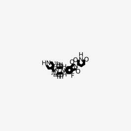 [2H]C1([2H])N(CC2CCNCC2)C([2H])([2H])C([2H])([2H])N(c2cc(F)c3c(c2)C(=O)N(C2CCC(=O)NC2=O)C3=O)C1([2H])[2H]